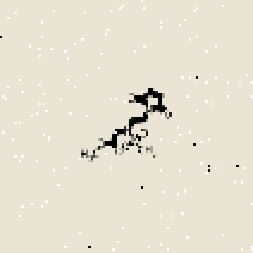 COC(=O)CN(CCN1C(=O)C=CC1=O)S(C)(=O)=O